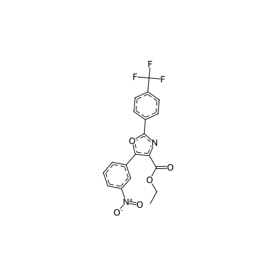 CCOC(=O)c1nc(-c2ccc(C(F)(F)F)cc2)oc1-c1cccc([N+](=O)[O-])c1